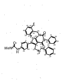 CNC(=O)Nc1ccc(-c2sc3c(c2CN(C)Cc2ccccc2)c(=O)n(-c2ccccc2)c(=O)n3Cc2c(F)cccc2F)cc1